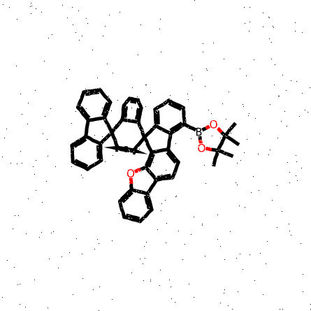 CC1(C)OB(c2cccc3c2-c2ccc4c(oc5ccccc54)c2C32c3ccccc3C3(c4ccccc4-c4ccccc43)c3ccccc32)OC1(C)C